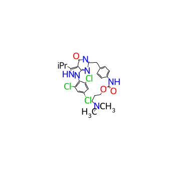 CC(C)c1[nH]n(-c2c(Cl)cc(Cl)cc2Cl)c2nc(Cc3ccc(NC(=O)OCCCN(C)C)cc3)nc(=O)c1-2